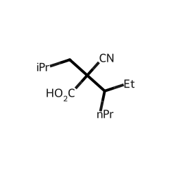 CCCC(CC)C(C#N)(CC(C)C)C(=O)O